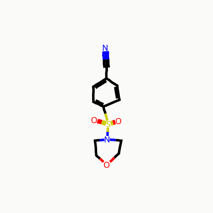 N#Cc1ccc(S(=O)(=O)N2CCOCC2)cc1